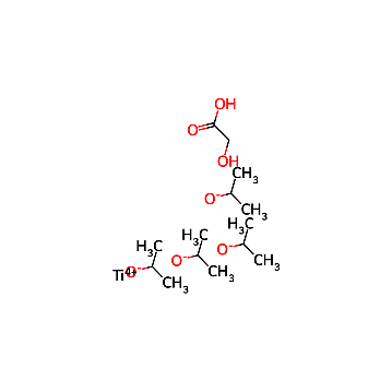 CC(C)[O-].CC(C)[O-].CC(C)[O-].CC(C)[O-].O=C(O)CO.[Ti+4]